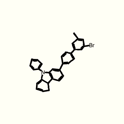 Cc1cc(Br)cc(-c2ccc(-c3ccc4c(c3)N(c3ccccc3)C3=CC=CCC34)cc2)c1